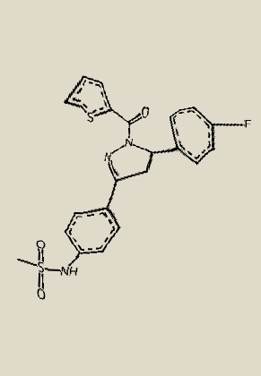 CS(=O)(=O)Nc1ccc(C2=NN(C(=O)c3cccs3)C(c3ccc(F)cc3)C2)cc1